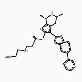 COCCNCCC(=O)Nc1sc2c(c1-c1nc3cc(-c4cccnc4)ccc3s1)C[C@H](C)N[C@@H]2C